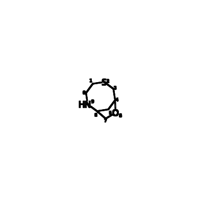 C1CSCC2CC(CO2)N1